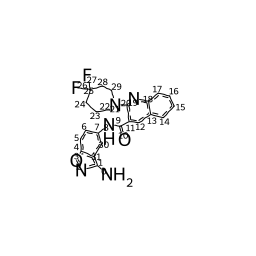 Nc1noc2ccc(NC(=O)c3cc4ccccc4nc3N3CCCC(F)(F)CC3)cc12